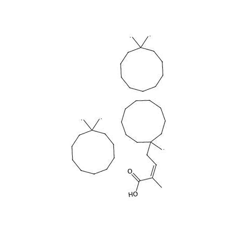 [CH2]C1(CC=C(C)C(=O)O)CCCCCCCCC1.[CH2]C1([CH2])CCCCCCCCC1.[CH2]C1([CH2])CCCCCCCCC1